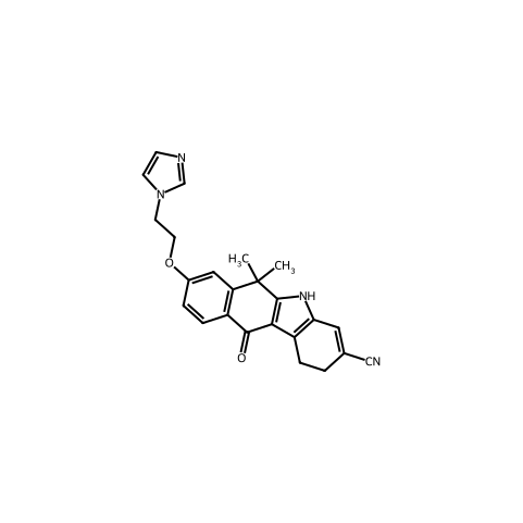 CC1(C)c2cc(OCCn3ccnc3)ccc2C(=O)c2c1[nH]c1c2CCC(C#N)=C1